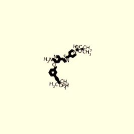 CC(C)(C)OC(=O)N1CCC(c2ncc(-c3cnc(N)c(OCc4cccc(C#CC(C)(C)OPI)c4)c3)s2)CC1